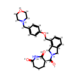 O=C1CCC[C@H](C(=O)N2Cc3cccc(COc4ccc(CN5CCOCC5)cc4)c3C2)C(=O)N1